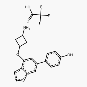 NC1CC(Oc2cc(-c3ccc(O)cc3)cn3cncc23)C1.O=C(O)C(F)(F)F